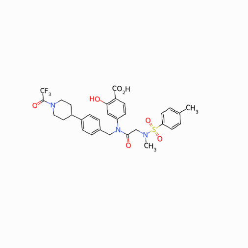 Cc1ccc(S(=O)(=O)N(C)CC(=O)N(Cc2ccc(C3CCN(C(=O)C(F)(F)F)CC3)cc2)c2ccc(C(=O)O)c(O)c2)cc1